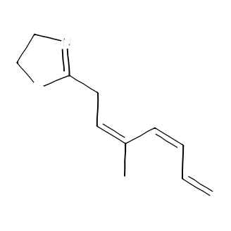 C=C/C=C\C(C)=C/CC1=NCCS1